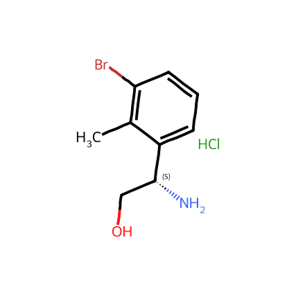 Cc1c(Br)cccc1[C@H](N)CO.Cl